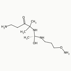 CC(C)(N[C@](C)(O)NCCCON)C(=O)CCN